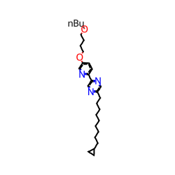 CCCCOCCCCOc1ccc(-c2cnc(CCCCCCCCCC3CC3)cn2)nc1